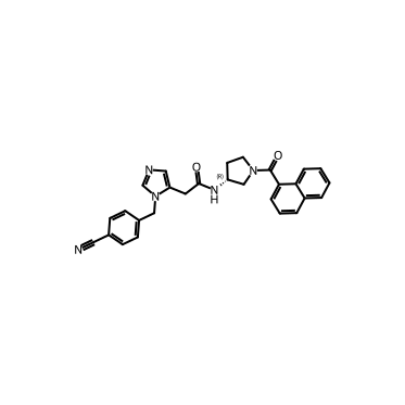 N#Cc1ccc(Cn2cncc2CC(=O)N[C@@H]2CCN(C(=O)c3cccc4ccccc34)C2)cc1